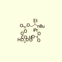 CC(C)OC(=O)OOC(=O)O.CCCCC(CC)COC(=O)OOC(=O)O